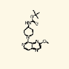 COc1cnc2ccnc(N3CCC(NC(=O)OC(C)(C)C)CC3)c2n1